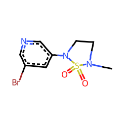 CN1CCN(c2cncc(Br)c2)S1(=O)=O